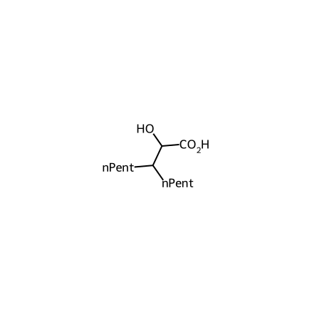 CCCCCC(CCCCC)C(O)C(=O)O